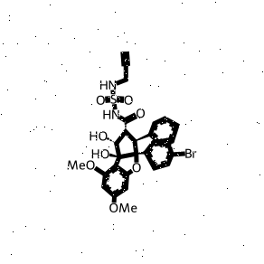 C#CCNS(=O)(=O)NC(=O)[C@H]1[C@@H](O)[C@@]2(O)c3c(OC)cc(OC)cc3O[C@@]2(c2ccc(Br)cc2)[C@@H]1c1ccccc1